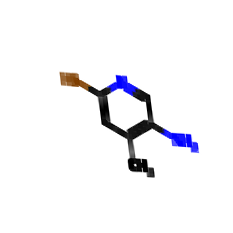 Cc1cc(S)ncc1N